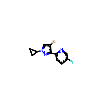 Fc1ccc(-c2nn(C3CC3)cc2Br)nc1